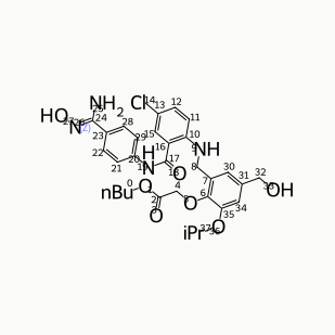 CCCCOC(=O)COc1c(CNc2ccc(Cl)cc2C(=O)Nc2ccc(/C(N)=N/O)cc2)cc(CO)cc1OC(C)C